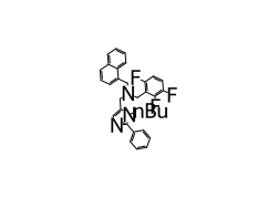 CCCCn1c(CN(Cc2c(F)ccc(F)c2F)Cc2cccc3ccccc23)cnc1-c1ccccc1